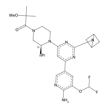 CCC[C@H]1CN(C(=O)C(C)(C)OC)CCN1c1cc(-c2cnc(N)c(OC(F)F)c2)nc(N2CC3CC2C3)n1